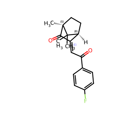 CC1(C)[C@H]2CC[C@]1(C)C(=O)/C2=C/C(=O)c1ccc(F)cc1